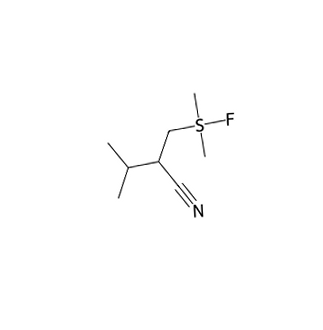 CC(C)C(C#N)CS(C)(C)F